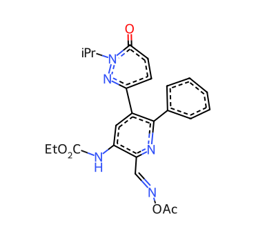 CCOC(=O)Nc1cc(-c2ccc(=O)n(C(C)C)n2)c(-c2ccccc2)nc1C=NOC(C)=O